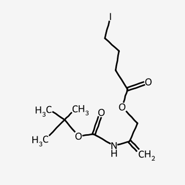 C=C(COC(=O)CCCI)NC(=O)OC(C)(C)C